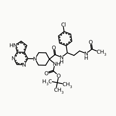 CC(=O)NCCC(NC(=O)C1(NC(=O)OC(C)(C)C)CCN(c2ncnc3[nH]ccc23)CC1)c1ccc(Cl)cc1